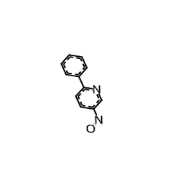 O=Nc1ccc(-c2ccccc2)nc1